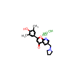 Cc1cc(-c2cc(=O)c3cc(CN4CCCC4)cnc3o2)cc(C)c1O.Cl.Cl.Cl